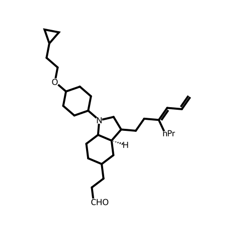 C=C/C=C(\CCC)CCC1CN(C2CCC(OCCC3CC3)CC2)C2CCC(CCC=O)C[C@H]12